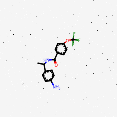 CC(NC(=O)c1ccc(OC(F)(F)F)cc1)c1ccc(N)cc1